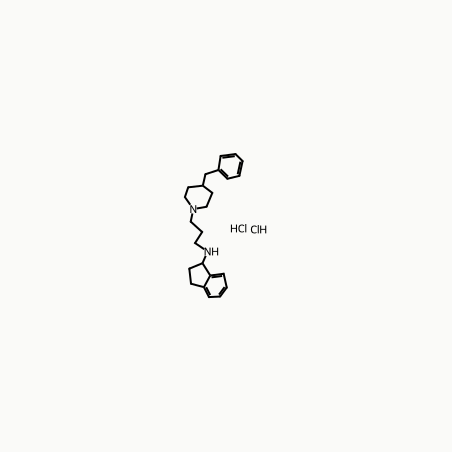 Cl.Cl.c1ccc(CC2CCN(CCCNC3CCc4ccccc43)CC2)cc1